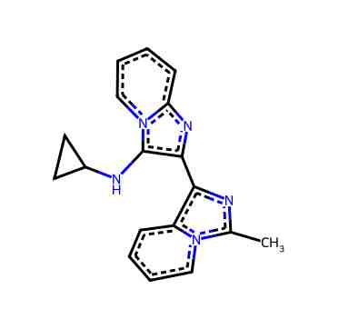 Cc1nc(-c2nc3ccccn3c2NC2CC2)c2ccccn12